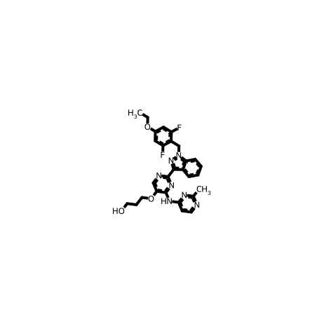 CCOc1cc(F)c(Cn2nc(-c3ncc(OCCCO)c(Nc4ccnc(C)n4)n3)c3ccccc32)c(F)c1